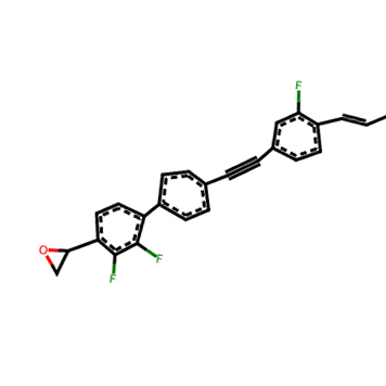 C/C=C/c1ccc(C#Cc2ccc(-c3ccc(C4CO4)c(F)c3F)cc2)cc1F